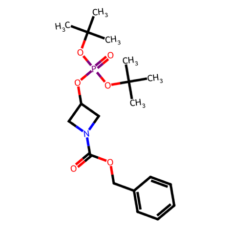 CC(C)(C)OP(=O)(OC1CN(C(=O)OCc2ccccc2)C1)OC(C)(C)C